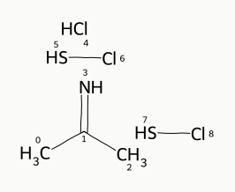 CC(C)=N.Cl.SCl.SCl